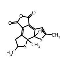 CC1=CC2=C3C(=O)OC(=O)C3=C3CC(C)SC3(C)C2(C)S1